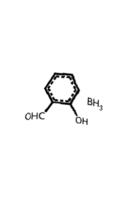 B.O=Cc1ccccc1O